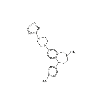 Cc1ccc(C2CCN(C)Cc3cc(N4CCN(c5ncccn5)CC4)ccc32)cc1